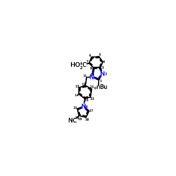 CCCCc1nc2cccc(C(=O)O)c2n1Cc1ccc(-n2ccc(C#N)c2)cc1